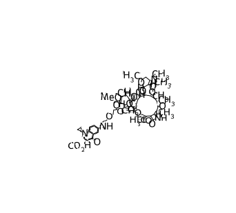 CC[C@@H]1OC(=O)[C@H](C)[C@H](O[C@@H]2C[C@@](C)(OC)[C@H](OC(=O)CCOCCNc3ccc4c(c3)c(=O)c(C(=O)O)cn4C3CC3)[C@H](C)O2)[C@@H](C)[C@@H]2O[C@@H]3O[C@H](C)C[C@H](N(C)C)[C@@H]3OO[C@@]2(C)C[C@H](C)C(=O)[C@H](C)[C@H]2NC(=O)[C@@]23O[C@@]13C